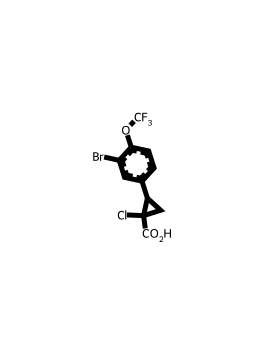 O=C(O)C1(Cl)CC1c1ccc(OC(F)(F)F)c(Br)c1